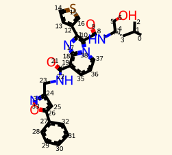 CC(C)C[C@@H](CO)NC(=O)c1c(-c2ccsc2)nc2c(C(=O)NCc3cc(-c4ccccc4)on3)cccn12